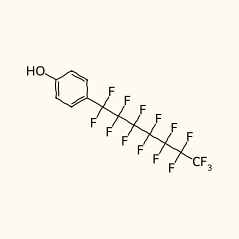 Oc1ccc(C(F)(F)C(F)(F)C(F)(F)C(F)(F)C(F)(F)C(F)(F)C(F)(F)F)cc1